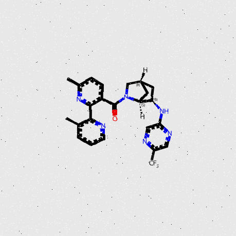 Cc1ccc(C(=O)N2C[C@@H]3C[C@@H](Nc4cnc(C(F)(F)F)cn4)[C@@H]2C3)c(-c2ncccc2C)n1